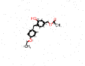 CCOc1ccc(Cc2ccc(COC(C)=O)cc2O)cc1